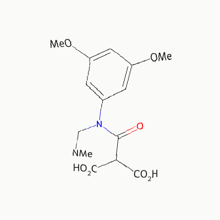 CNCN(C(=O)C(C(=O)O)C(=O)O)c1cc(OC)cc(OC)c1